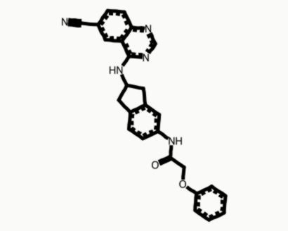 N#Cc1ccc2ncnc(NC3Cc4ccc(NC(=O)COc5ccccc5)cc4C3)c2c1